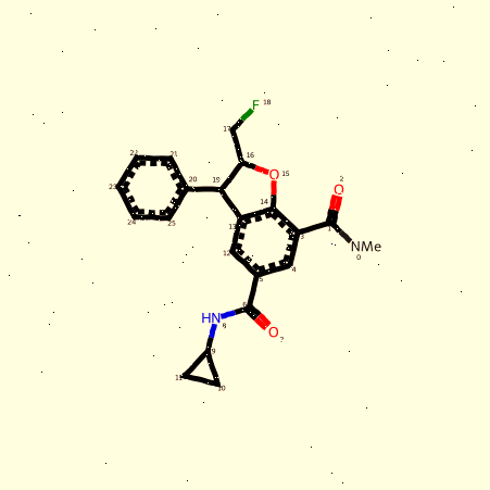 CNC(=O)c1cc(C(=O)NC2CC2)cc2c1OC(CF)C2c1ccccc1